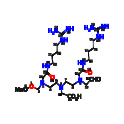 COOCN(CCN(CCN(CC=O)CC(=O)NCCCCNC(=N)N)CC(=O)O)CC(=O)NCCCCNC(=N)N